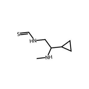 CNC(CNC=S)C1CC1